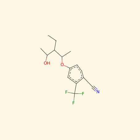 CCC(C(C)O)C(C)Oc1ccc(C#N)c(C(F)(F)F)c1